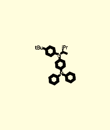 CC(C)[C@@H](C)N(c1ccc(N(c2ccccc2)c2ccccc2)cc1)c1ccc(C(C)(C)C)cc1